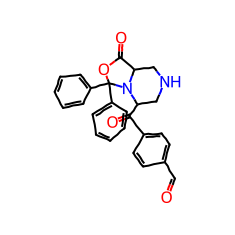 O=Cc1ccc(C(=O)C2CNCC3C(=O)OC(c4ccccc4)(c4ccccc4)N32)cc1